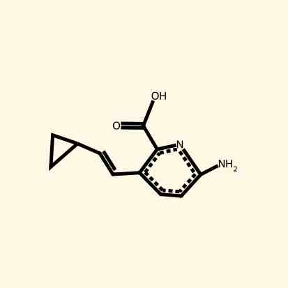 Nc1ccc(/C=C/C2CC2)c(C(=O)O)n1